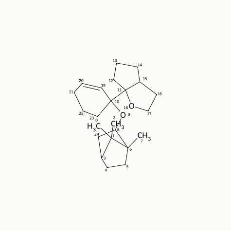 CC1(C)C2CCC1(C)C(OC1(C34CCCC3CCO4)C=CCCC1)C2